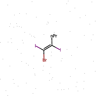 C[CH]CC(I)=C(Br)I